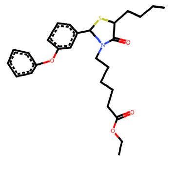 CCCCC1SC(c2cccc(Oc3ccccc3)c2)N(CCCCCC(=O)OCC)C1=O